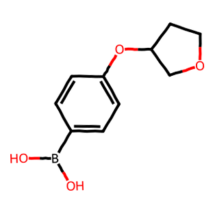 OB(O)c1ccc(OC2CCOC2)cc1